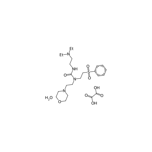 CCN(CC)CCNC(=O)N(CCN1CCOCC1)CCS(=O)(=O)c1ccccc1.O.O=C(O)C(=O)O